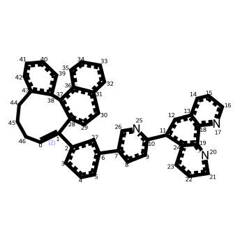 C1=C(/c2cccc(-c3ccc(-c4cc5cccnc5c5ncccc45)nc3)c2)c2ccc3ccccc3c2-c2ccccc2CCC/1